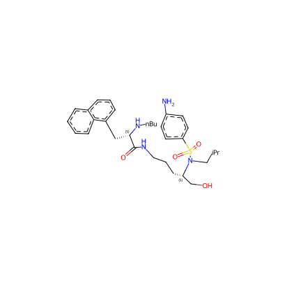 CCCCN[C@@H](Cc1cccc2ccccc12)C(=O)NCCC[C@@H](CO)N(CC(C)C)S(=O)(=O)c1ccc(N)cc1